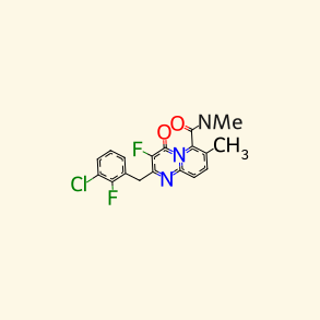 CNC(=O)c1c(C)ccc2nc(Cc3cccc(Cl)c3F)c(F)c(=O)n12